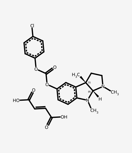 CN1CC[C@@]2(C)c3cc(OC(=O)Oc4ccc(Cl)cc4)ccc3N(C)[C@@H]12.O=C(O)C=CC(=O)O